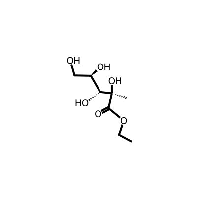 CCOC(=O)[C@](C)(O)[C@H](O)[C@H](O)CO